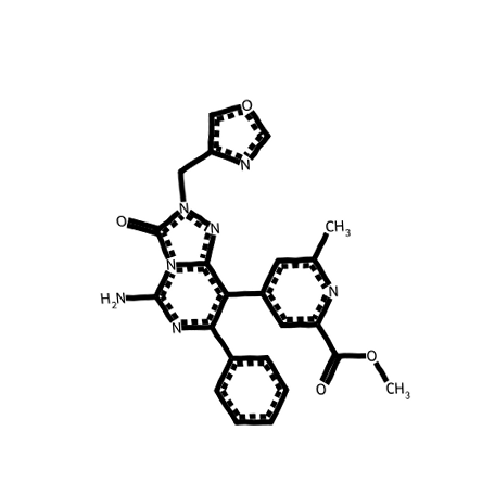 COC(=O)c1cc(-c2c(-c3ccccc3)nc(N)n3c(=O)n(Cc4cocn4)nc23)cc(C)n1